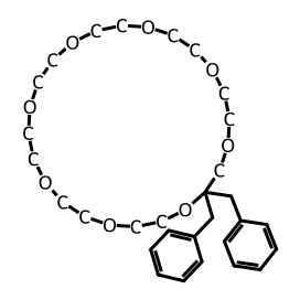 c1ccc(CC2(Cc3ccccc3)COCCOCCOCCOCCOCCOCCOCCO2)cc1